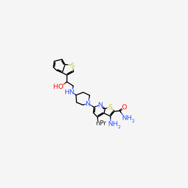 CCCc1cc(N2CCC(NCC(O)c3csc4ccccc34)CC2)nc2sc(C(N)=O)c(N)c12